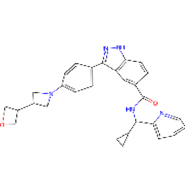 O=C(NC(c1ccccn1)C1CC1)c1ccc2[nH]nc(-c3ccc(N4CC(C5COC5)C4)cc3)c2c1